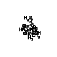 CCCCCC(=O)NC(C(=O)O)C(C)C.O=C1C=CC(=O)N1